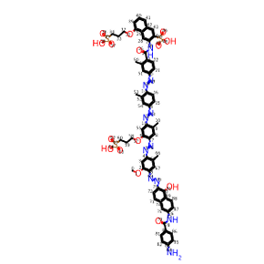 COc1cc(N=Nc2cc(C)c(N=Nc3ccc(N=Nc4ccc(C(=O)Nc5cc6c(OCCCS(=O)(=O)O)cccc6cc5S(=O)(=O)O)c(C)c4)c(C)c3)cc2OCCCS(=O)(=O)O)c(C)cc1N=Nc1ccc2cc(NC(=O)c3ccc(N)cc3)ccc2c1O